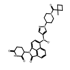 CC1(C(=O)N2CCC(n3cc([S+]([O-])c4ccc5c6c(cccc46)C(=O)N5C4CCC(=O)NC4=O)cn3)CC2)CCC1